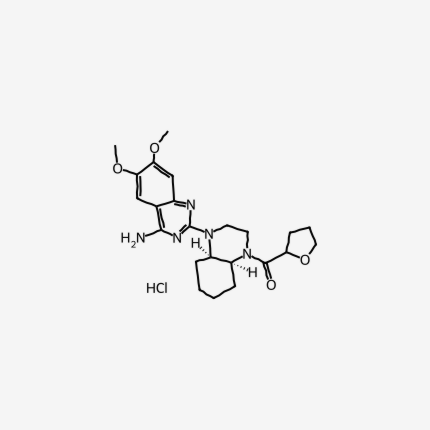 COc1cc2nc(N3CCN(C(=O)C4CCCO4)[C@H]4CCCC[C@H]43)nc(N)c2cc1OC.Cl